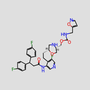 O=C(CC(c1ccc(F)cc1)c1ccc(F)cc1)Nc1cncc(F)c1CC[C@@H]1CN[C@H](COC(=O)NCc2ccno2)CO1